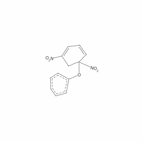 O=[N+]([O-])C1=CC=CC(Oc2ccccc2)([N+](=O)[O-])C1